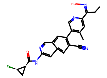 CC/C(=N/O)c1cc(C)c(-c2cc3cnc(NC(=O)[C@H]4C[C@H]4F)cc3cc2C#N)cn1